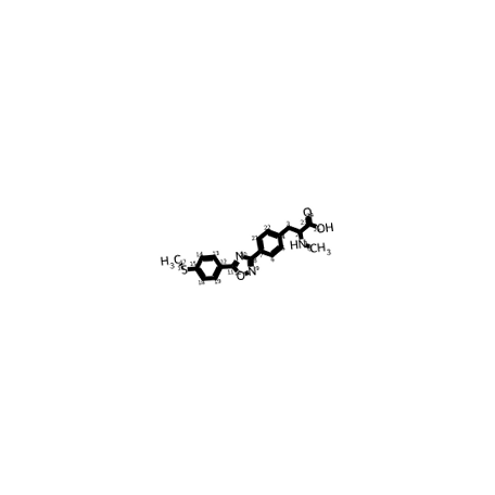 CNC(Cc1ccc(-c2noc(-c3ccc(SC)cc3)n2)cc1)C(=O)O